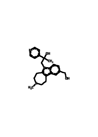 CN1CCc2c(n(CC(C)(O)c3ccncc3)c3ccc(CO)cc23)CC1